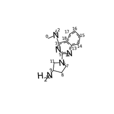 CN(C)c1nc(N2CCC(N)C2)nc2ccccc12